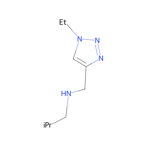 CCn1cc(CNCC(C)C)nn1